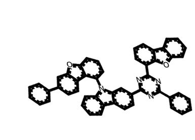 c1ccc(-c2ccc3c(c2)oc2cccc(-n4c5ccccc5c5ccc(-c6nc(-c7ccccc7)nc(-c7cccc8c7oc7ccccc78)n6)cc54)c23)cc1